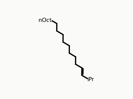 [CH2]C(C)C=CCCCCCCCCCCCCCCCC